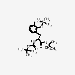 CC(C)(C)OC(=O)N[C@@H](Cc1cccc(I)c1O[Si](C)(C)C)C(=O)O[Si](C)(C)C